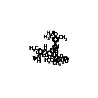 CCC[C@H](NC(=O)[C@@H]1C[C@@]2(CC(c3cc(C)c(OC)c(C)c3)=NO2)CN1C(=O)[C@@H](NC(=O)O[C@H]1CCOC1)C(C)(C)C)C(=O)C(=O)NC1CC1